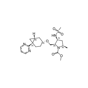 COC(=O)N1[C@H](C)C[C@H](NS(C)(=O)=O)[C@@H]1CO[C@@H]1CC[C@]2(c3ncccn3)C[C@@H]2C1